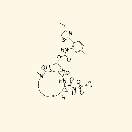 CCC1CSC(c2ccc(C)cc2NC(=O)O[C@@H]2C[C@H]3C(=O)N[C@]4(C(=O)NS(=O)(=O)C5CC5)C[C@H]4/C=C\CCCCN(C)C(=O)[C@@H]3C2)=N1